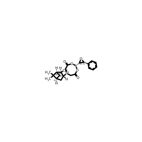 C[C@H]1[C@H](N2CC(=O)OB([C@@H]3O[C@H]3c3ccccc3)OC(=O)C2)C[C@@H]2C[C@H]1C2(C)C